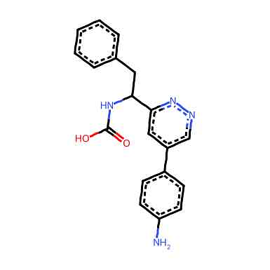 Nc1ccc(-c2cnnc(C(Cc3ccccc3)NC(=O)O)c2)cc1